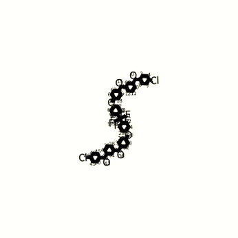 O=C(c1ccc(Cl)cc1)c1cccc(C(=O)c2ccc(Oc3ccc(C(c4ccc(Oc5ccc(C(=O)c6cccc(C(=O)c7ccc(Cl)cc7)c6)cc5)cc4)(C(F)(F)F)C(F)(F)F)cc3)cc2)c1